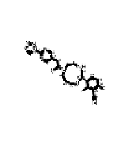 Cc1c([C@@H]2CNCCN(C(=O)Cc3cnc(-n4cnnn4)nc3)CCCO2)ccc(F)c1C#N